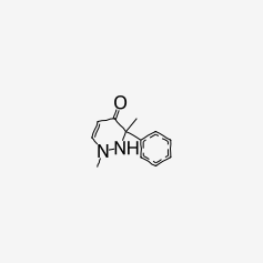 CN1C=CC(=O)C(C)(c2ccccc2)N1